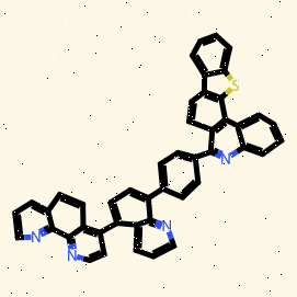 c1cnc2c(c1)ccc1c(-c3ccc(-c4ccc(-c5nc6ccccc6c6c5ccc5c7ccccc7sc56)cc4)c4ncccc34)ccnc12